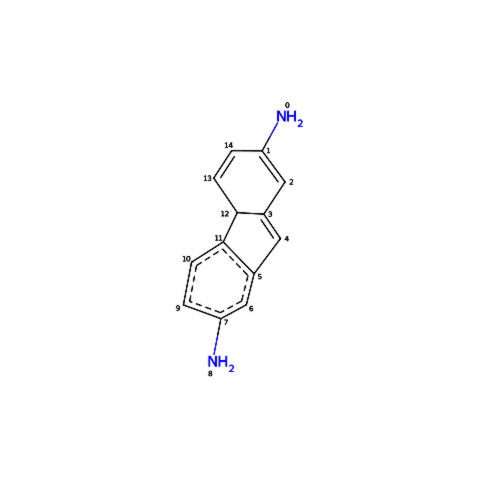 NC1=CC2=Cc3cc(N)ccc3C2C=C1